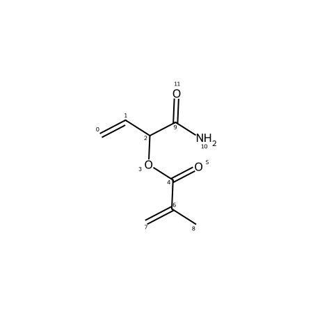 C=CC(OC(=O)C(=C)C)C(N)=O